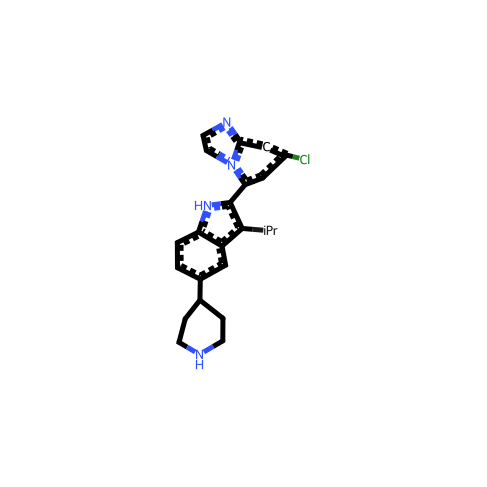 CC(C)c1c(-c2cc(Cl)cc3nccn23)[nH]c2ccc(C3CCNCC3)cc12